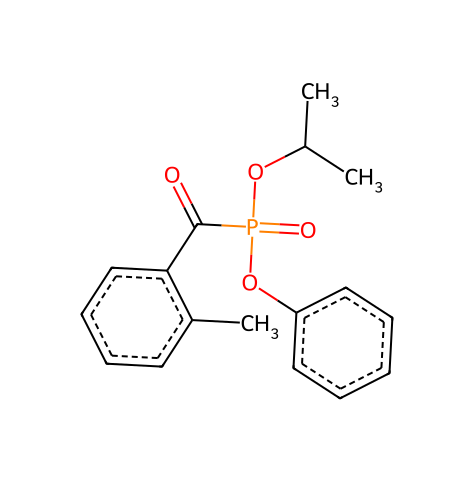 Cc1ccccc1C(=O)P(=O)(Oc1ccccc1)OC(C)C